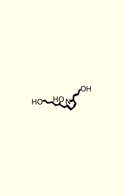 OCC=Cc1cccc(CC(O)CCCCO)n1